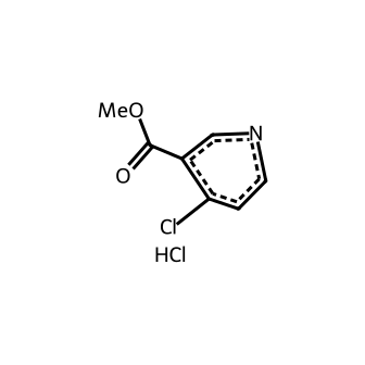 COC(=O)c1cnccc1Cl.Cl